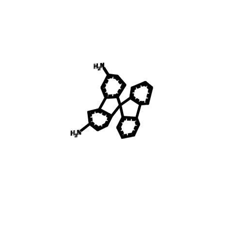 Nc1ccc2c(c1)-c1cc(N)ccc1C21c2ccccc2-c2ccccc21